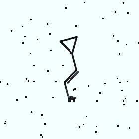 CC(C)C=CC1CC1